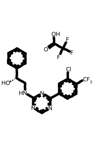 O=C(O)C(F)(F)F.O[C@@H](CNc1ncnc(-c2ccc(C(F)(F)F)c(Cl)c2)n1)c1ccccc1